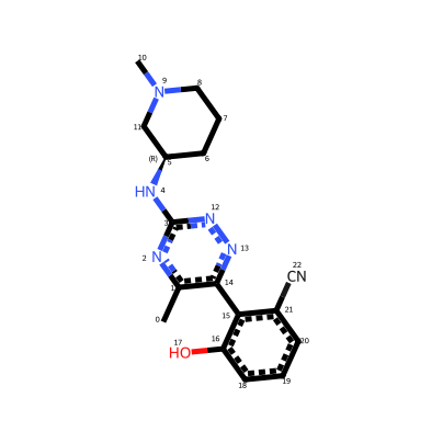 Cc1nc(N[C@@H]2CCCN(C)C2)nnc1-c1c(O)cccc1C#N